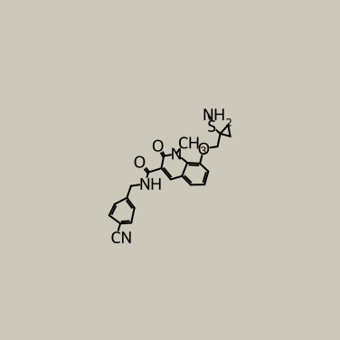 Cn1c(=O)c(C(=O)NCc2ccc(C#N)cc2)cc2cccc(OCC3(SN)CC3)c21